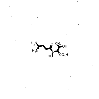 CC(O)C(C(=O)O)N(O)C(=O)CCC(N)N